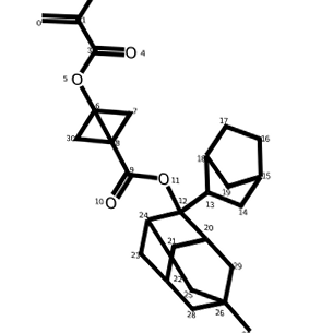 C=C(C)C(=O)OC12CC1(C(=O)OC1(C3CC4CCC3C4)C3CC4CC1CC(C)(C4)C3)C2